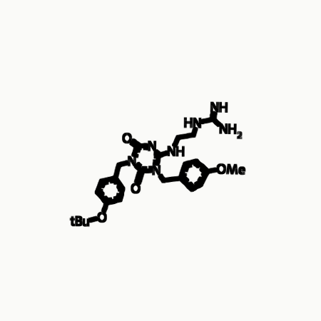 COc1ccc(Cn2c(NCCNC(=N)N)nc(=O)n(Cc3ccc(OC(C)(C)C)cc3)c2=O)cc1